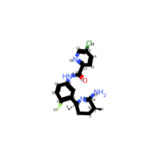 C[C@H]1CC[C@@](C)(c2cc(NC(=O)c3ccc(Cl)cn3)ccc2F)N=C1N